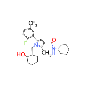 Cc1c(C(=O)NC2CCCCC2)cc(-c2cc(C(F)(F)F)ccc2F)n1C[C@H]1CCCC[C@H]1O